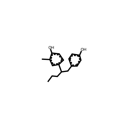 CCCC(Cc1ccc(O)cc1)c1ccc(O)c(C)c1